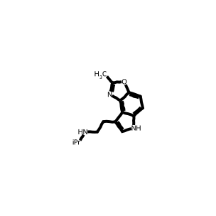 Cc1nc2c(ccc3[nH]cc(CCNC(C)C)c32)o1